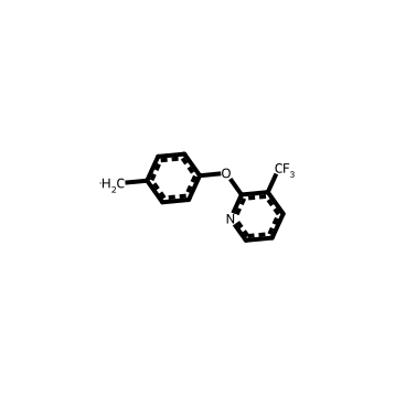 [CH2]c1ccc(Oc2ncccc2C(F)(F)F)cc1